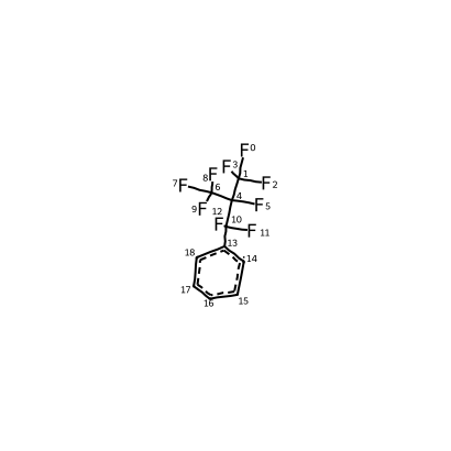 FC(F)(F)C(F)(C(F)(F)F)C(F)(F)c1[c]cccc1